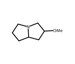 COC1CC2CCCN2C1